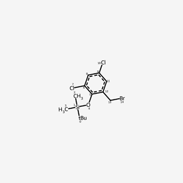 CC(C)(C)[Si](C)(C)Oc1c(Cl)cc(Cl)cc1CBr